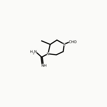 CC1CN(C=O)CCN1C(=N)N